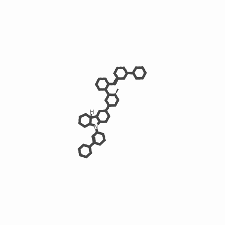 C[C@H]1CCC(C2CCC3C(C2)[C@H]2CCCCC2N3C2C=C(C3CCCCC3)CCC2)CC1C1CCCCC1/C=C1\CCCC(C2CCCCC2)C1